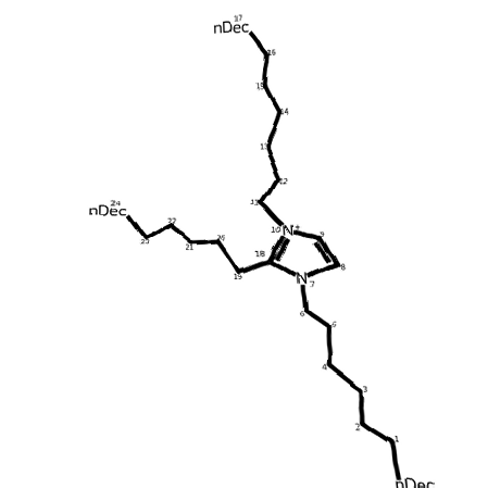 CCCCCCCCCCCCCCCCn1cc[n+](CCCCCCCCCCCCCCCC)c1CCCCCCCCCCCCCCC